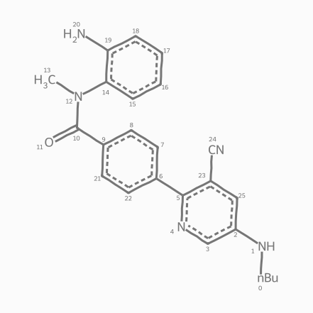 CCCCNc1cnc(-c2ccc(C(=O)N(C)c3ccccc3N)cc2)c(C#N)c1